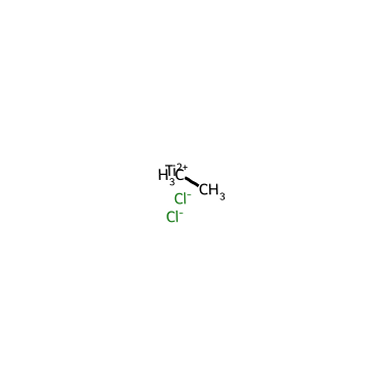 CC.[Cl-].[Cl-].[Ti+2]